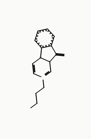 O=C1c2ccccc2C2C=C[N+](CCCS(=O)(=O)O)=CC12